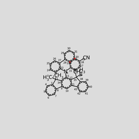 CC1(C)c2ccccc2-c2cc3c(c(N(c4ccc(C#N)cc4)c4ccccc4-c4ccccc4)c21)C(C)(C)c1ccccc1-3